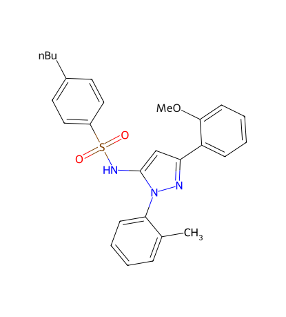 CCCCc1ccc(S(=O)(=O)Nc2cc(-c3ccccc3OC)nn2-c2ccccc2C)cc1